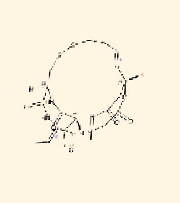 C/C=C1\NC(=O)[C@H]2CSSCC/C=C/[C@@H](CC(=O)N[C@H](C(C)C)C(=O)N2)OC(=O)CNC1=O